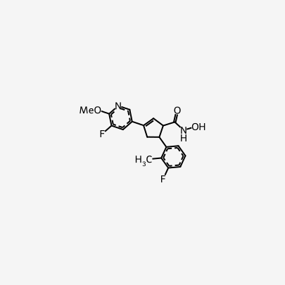 COc1ncc(C2=CC(C(=O)NO)C(c3cccc(F)c3C)C2)cc1F